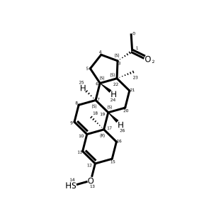 CC(=O)[C@H]1CC[C@H]2[C@@H]3CC=C4C=C(OS)CC[C@]4(C)[C@H]3CC[C@]12C